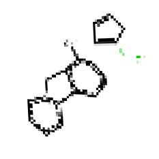 C1=CCC=C1.[Cl-].[Cl-].[Zr+2][c]1cccc2c1Cc1ccccc1-2